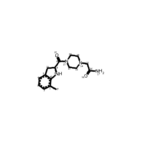 Cc1cccc2c1NC(C(=O)N1CCN(CC(N)=O)CC1)C2